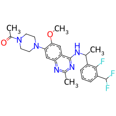 COc1cc2c(NC(C)c3cccc(C(F)F)c3F)nc(C)nc2cc1N1CCN(C(C)=O)CC1